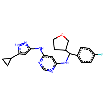 Fc1ccc(C(Nc2cc(Nc3cc(C4CC4)[nH]n3)ncn2)C2CCOC2)cc1